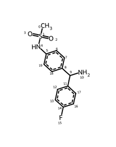 CS(=O)(=O)Nc1ccc(C(N)c2ccc(F)cc2)cc1